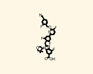 CC1(C)COC[C@H]1n1c(Cc2c(F)cc(-c3ccc(F)c(OCc4ccc(C#N)cc4F)n3)cc2F)nc2c(F)cc(C(=O)O)cc21